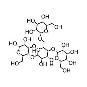 OC[C@H]1O[C@H](OC[C@H]2O[C@H](O[C@H]3[C@H](O)[C@@H](O)[C@@H](O)O[C@@H]3CO)[C@H](O)[C@@H](O)[C@@H]2O[C@H]2O[C@H](CO)[C@@H](O)[C@H](O)[C@H]2O)[C@H](O)[C@@H](O)[C@@H]1O